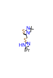 CC(C)C1CN=C(SCC2=CSC3=NC(C)(C)CN23)N1